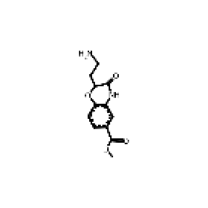 COC(=O)c1ccc2c(c1)NC(=O)C(CCN)O2